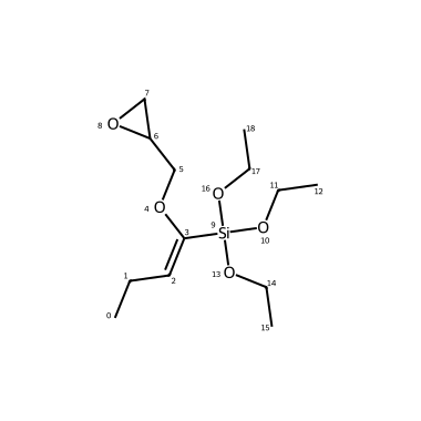 CC/C=C(\OCC1CO1)[Si](OCC)(OCC)OCC